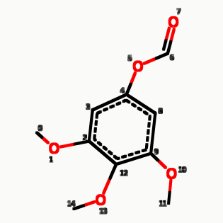 COc1cc(OC=O)cc(OC)c1OC